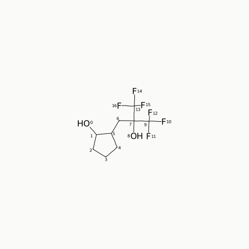 OC1CCCC1CC(O)(C(F)(F)F)C(F)(F)F